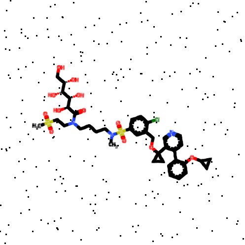 CN(CCCCN(CCS(C)(=O)=O)C(=O)[C@@H](O)[C@@H](O)[C@H](O)[C@@H](O)CO)S(=O)(=O)c1ccc(Cl)c(COC2(c3cnccc3-c3ccccc3OC3CC3)CC2)c1